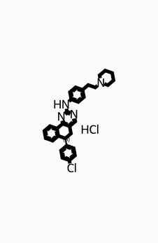 Cl.Clc1ccc([C@@H]2Cc3cnc(Nc4ccc(CCN5CCCCC5)cc4)nc3-c3ccccc32)cc1